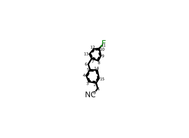 N#CCc1ccc(Cc2ccc(F)cc2)cc1